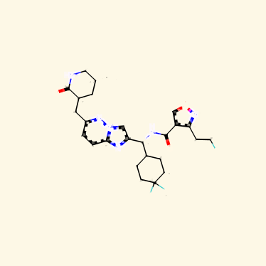 O=C(N[C@H](c1cn2nc(CC3C[C@@H](C(F)(F)F)CNC3=O)ccc2n1)C1CCC(F)(F)CC1)c1conc1CCF